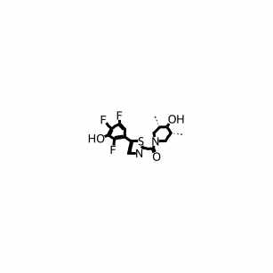 C[C@@H]1CN(C(=O)c2ncc(-c3cc(F)c(F)c(O)c3F)s2)C[C@H](C)C1O